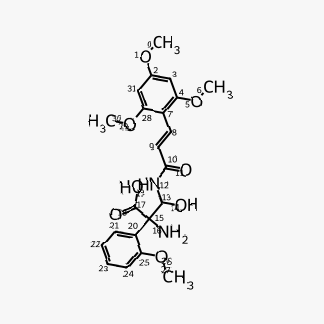 COc1cc(OC)c(C=CC(=O)NC(O)C(N)(C(=O)O)c2ccccc2OC)c(OC)c1